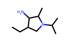 CCC1CN(C(C)C)C(C)C1N